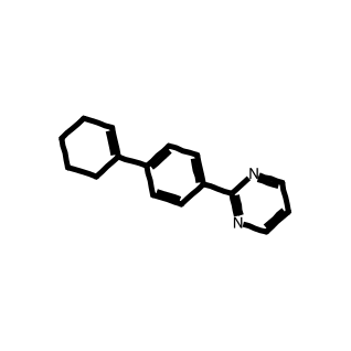 C1=C(c2ccc(-c3ncccn3)cc2)CCCC1